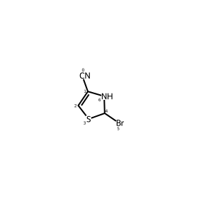 N#CC1=CSC(Br)N1